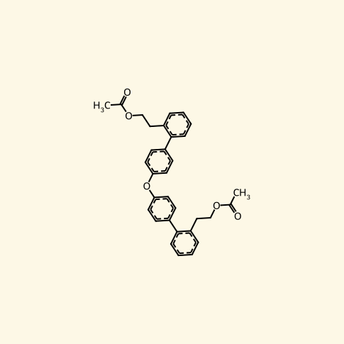 CC(=O)OCCc1ccccc1-c1ccc(Oc2ccc(-c3ccccc3CCOC(C)=O)cc2)cc1